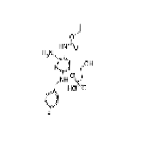 CCOC(=O)Nc1ccc(NCc2ccc(F)cc2)nc1N.O=S(=O)(O)CCO